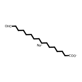 O=CCCCCCCCCCCCCCCC(=O)[O-].[Na+]